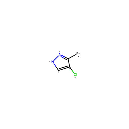 CCC1=N[N]C=C1Cl